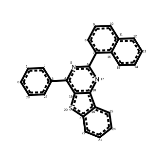 c1ccc(-c2nc(-c3cccc4ccccc34)nc3c2sc2ccccc23)cc1